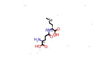 C[Se]CC[C@H](NC(=O)CC[C@H](N)C(=O)O)C(=O)O